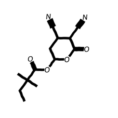 CCC(C)(C)C(=O)OC1CC(C#N)C(C#N)C(=O)O1